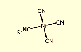 N#[C][Ni]([C]#N)([C]#N)[C]#N.[K]